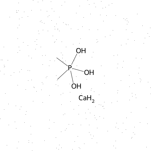 CP(C)(O)(O)O.[CaH2]